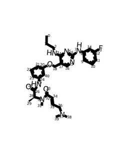 CCCNc1nc(Nc2cccc(F)c2)ncc1COc1cccc(NC(=O)[C@H](C)N(C)C(=O)/C=C/CN(C)C)c1